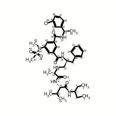 CCC(CC)NC(=O)[C@@H](NC(=O)[C@H](C)NC[C@H](Cc1ccccc1)NC(=O)c1cc(C(=O)N[C@H](C)c2cccc(Cl)c2)cc(N(C)S(C)(=O)=O)c1)C(C)C